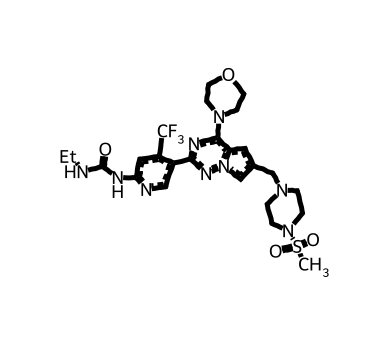 CCNC(=O)Nc1cc(C(F)(F)F)c(-c2nc(N3CCOCC3)c3cc(CN4CCN(S(C)(=O)=O)CC4)cn3n2)cn1